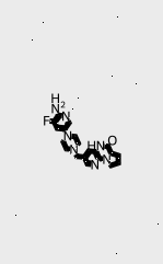 Nc1ncc(N2CCN(Cc3cnc4c(c3)NC(=O)C3CCCN43)CC2)cc1F